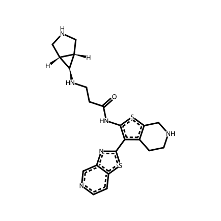 O=C(CCN[C@H]1[C@@H]2CNC[C@@H]21)Nc1sc2c(c1-c1nc3cnccc3s1)CCNC2